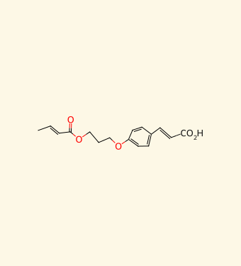 CC=CC(=O)OCCCOc1ccc(C=CC(=O)O)cc1